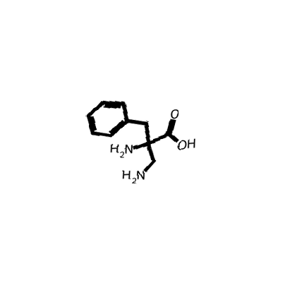 NCC(N)(Cc1ccccc1)C(=O)O